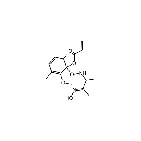 C=CC(=O)OC1(ONC(C)C(C)=NO)C(OC)=C(C)C=CC1C